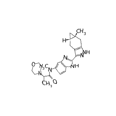 CC(C(=O)N(C)c1ccc2[nH]c(-c3n[nH]c4c3C[C@@H]3C[C@]3(C)C4)nc2c1)N1CCOCC1